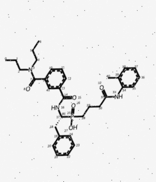 CCCN(CCC)C(=O)c1cccc(C(=O)N[C@@H](Cc2ccccc2)P(=O)(O)CCCC(=O)Nc2ccccc2C)c1